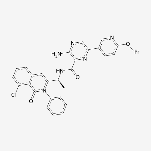 CC(C)Oc1ccc(-c2cnc(N)c(C(=O)N[C@@H](C)c3cc4cccc(Cl)c4c(=O)n3-c3ccccc3)n2)cn1